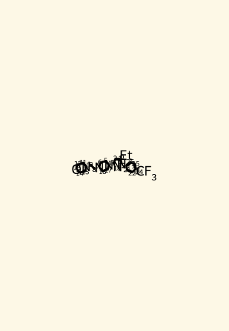 CCc1cc(N2CCN(CCN3CCOCC3)CC2)nn1-c1ccc(C(F)(F)F)cc1